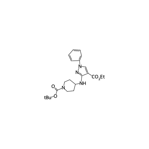 CCOC(=O)c1cn(-c2ccccc2)nc1NC1CCN(C(=O)OC(C)(C)C)CC1